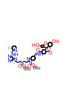 CC(C)(C)OC(=O)N(CCc1nc2c(NCc3ncccc3F)ncnc2s1)CCc1nc2cc(CNC(=O)c3ccc4c(c3)C3(OC4=O)c4ccc(O)cc4Oc4cc(O)ccc43)ccc2n1C(=O)OC(C)(C)C